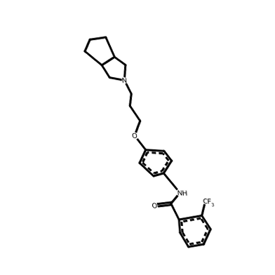 O=C(Nc1ccc(OCCCN2CC3CCCC3C2)cc1)c1ccccc1C(F)(F)F